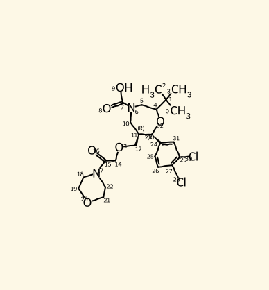 CC(C)(C)C1CN(C(=O)O)C[C@H](COCC(=O)N2CCOCC2)[C@H](c2ccc(Cl)c(Cl)c2)O1